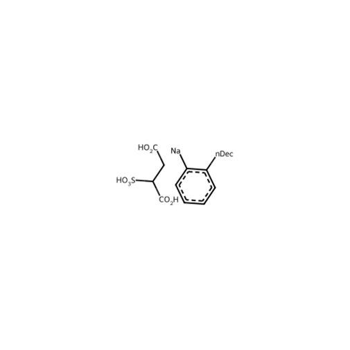 CCCCCCCCCCc1cccc[c]1[Na].O=C(O)CC(C(=O)O)S(=O)(=O)O